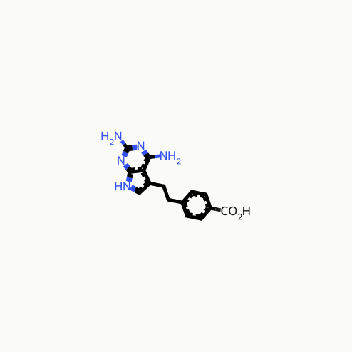 Nc1nc(N)c2c(CCc3ccc(C(=O)O)cc3)c[nH]c2n1